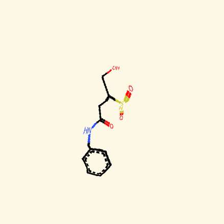 O=C(CC(CO)[SH](=O)=O)Nc1ccccc1